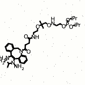 CC(C)OP(OCCNOCC(C)(C)OCCNC(=O)CCC(=O)N1Cc2ccccc2/C(N)=C(/N(N)C(C)P)c2ccccc21)OC(C)C